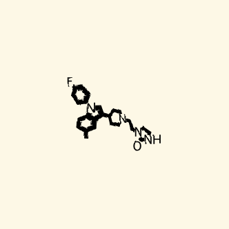 Cc1ccc2c(c1)c(C1CCN(CCN3CCNC3=O)CC1)cn2-c1ccc(F)cc1